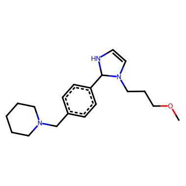 COCCCN1C=CNC1c1ccc(CN2CCCCC2)cc1